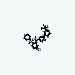 O=S(=O)(c1ccccc1)c1ccc(Cl)nc1Nc1cc(-c2cccc(C(F)(F)F)c2)[nH]n1